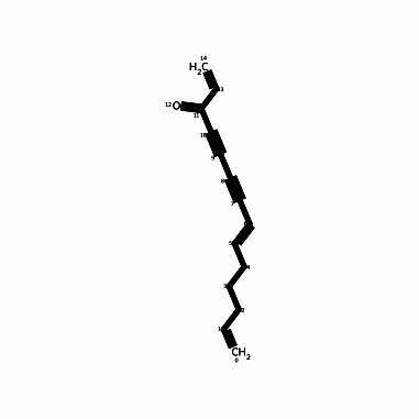 C=CCCCC=CC#CC#CC(=O)C=C